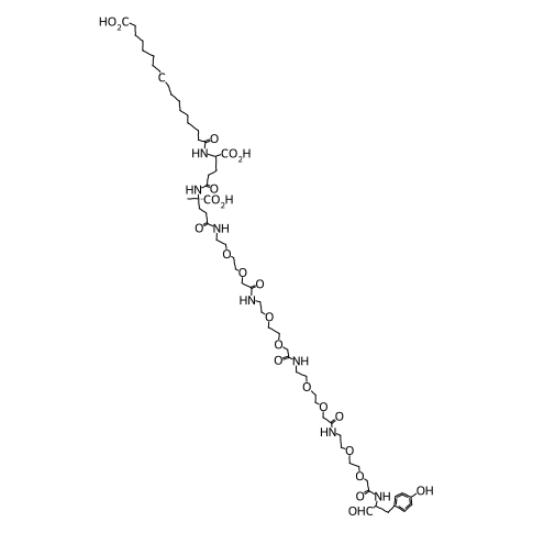 C[C@](CCC(=O)NCCOCCOCC(=O)NCCOCCOCC(=O)NCCOCCOCC(=O)NCCOCCOCC(=O)NC(C=O)Cc1ccc(O)cc1)(NC(=O)CCC(NC(=O)CCCCCCCCCCCCCCCCC(=O)O)C(=O)O)C(=O)O